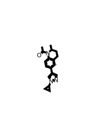 CC(=O)N1c2ccc(-c3cnn(C4CC4)c3)[c]c2CCC1C